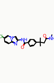 CNC(=O)CC(C)(C)c1ccc(C(=O)Nc2cn3cc(Cl)ccc3n2)cc1